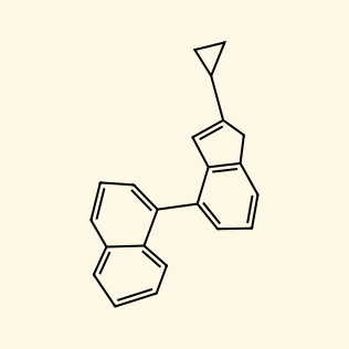 C1=C(C2CC2)Cc2cccc(-c3cccc4ccccc34)c21